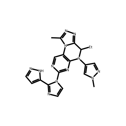 CCC1c2nnc(C)n2-c2cnc(-n3ccnc3-c3ccn[nH]3)nc2N1c1cnn(C)c1